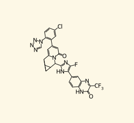 O=c1[nH]c2ccc(-c3[nH]c(C4C5C6C(c7cc(-c8cc(Cl)ccc8-n8cnnn8)cc(=O)n74)C65)nc3F)cc2nc1C(F)(F)F